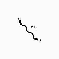 O=CCCCC=O.P